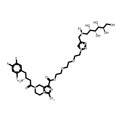 CCN(Cc1cn(CCOCCOCCOC(=O)c2nc(C(F)(F)F)n3c2CN(C(=O)C[C@H](N)Cc2cc(F)c(F)cc2F)CC3)nn1)C[C@H](O)[C@@H](O)[C@H](O)[C@H](O)CO